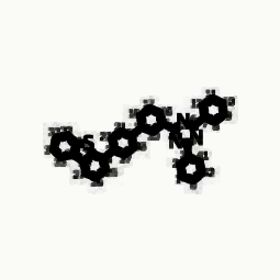 c1ccc(-c2nc(-c3ccccc3)nc(-c3cccc(-c4ccc(-c5cccc6c5sc5ccccc56)cc4)c3)n2)cc1